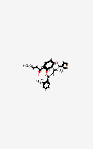 Cc1ccccc1[C@@H](CCC(=O)O)Oc1cc(OCc2ccsc2)ccc1C(=O)CCC(=O)O